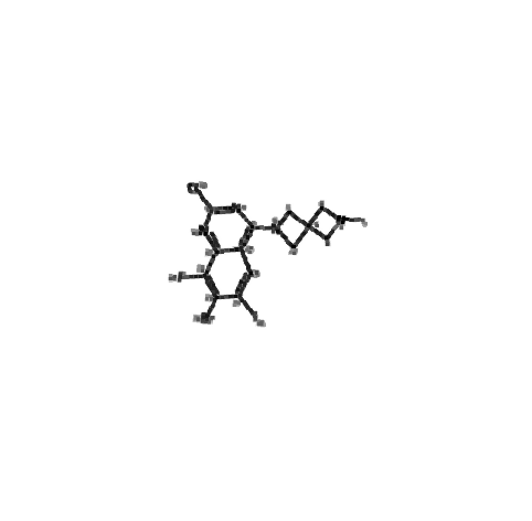 CN1CC2(C1)CN(c1nc(Cl)nc3c(F)c(Br)c(I)cc13)C2